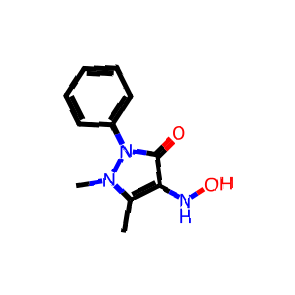 Cc1c(NO)c(=O)n(-c2ccccc2)n1C